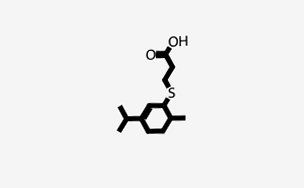 CC(C)C1=CC(SCCC(=O)O)C(C)CC1